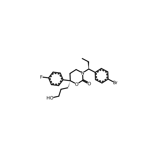 CC[C@@H](c1ccc(Br)cc1)N1CC[C@](CCCO)(c2ccc(F)cc2)OC1=O